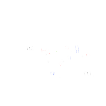 C#CC[C@@]1(O)[C@@H](CN)O[C@@H](n2cc(CC)c(=O)[nH]c2=O)[C@@H]1F